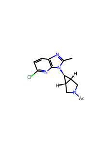 CC(=O)N1C[C@@H]2[C@H](C1)[C@H]2n1c(C)nc2ccc(Cl)nc21